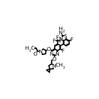 C=CC(=O)N1CCC(Oc2nc(OCC3CC4(CC4)CN3C)nc3c(F)c(-c4ccc(F)c5sc(N)nc45)c(C(F)(F)F)cc23)C1